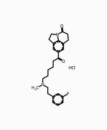 CN(CCCCCC(=O)c1cc2c3c(c1)CCN3C(=O)CC2)CCc1cccc(F)c1.Cl